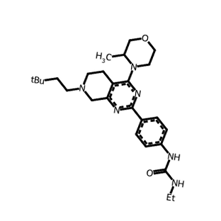 CCNC(=O)Nc1ccc(-c2nc3c(c(N4CCOCC4C)n2)CCN(CCC(C)(C)C)C3)cc1